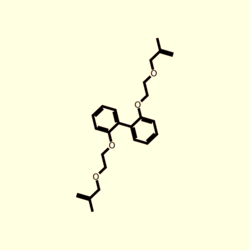 C=C(C)COCCOc1ccccc1-c1ccccc1OCCOCC(=C)C